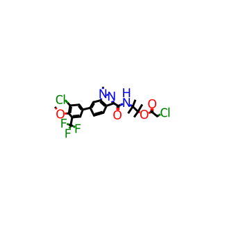 COc1c(Cl)cc(-c2ccc3c(C(=O)NC(C)(C)C(C)(C)OC(=O)CCl)nn(C)c3c2)cc1C(F)(F)F